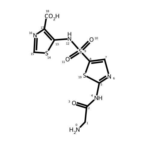 NCC(=O)Nc1ncc(S(=O)(=O)Nc2scnc2C(=O)O)s1